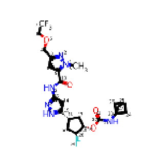 Cn1nc(COCC(F)(F)F)cc1C(=O)Nc1cc([C@@H]2C[C@H](OC(=O)NC34CC(C3)C4)[C@@H](F)C2)[nH]n1